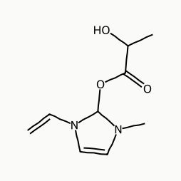 C=CN1C=CN(C)C1OC(=O)C(C)O